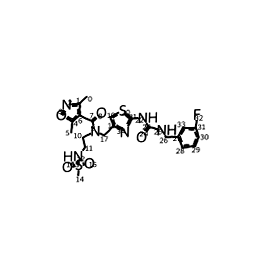 Cc1noc(C)c1C(=O)N(CCNS(C)(=O)=O)Cc1csc(NC(=O)NCc2cccc(F)c2)n1